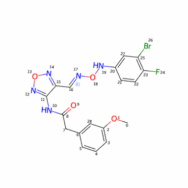 COc1cccc(CC(=O)Nc2nonc2/C=N/ONc2ccc(F)c(Br)c2)c1